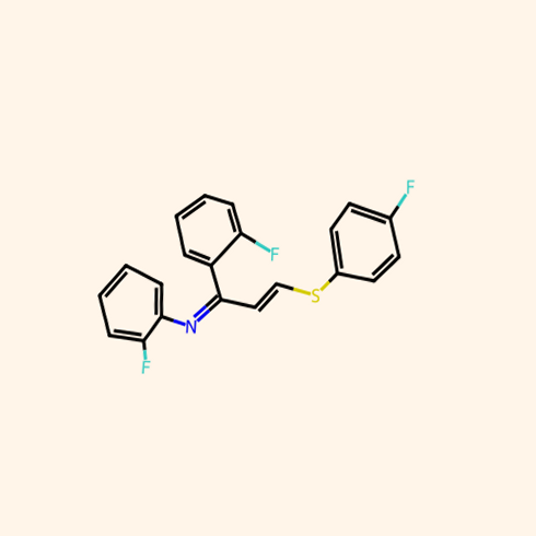 Fc1ccc(S/C=C/C(=N/c2ccccc2F)c2ccccc2F)cc1